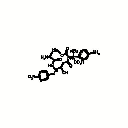 CC[C@H](C)[C@](C(=O)O)(c1ccc(N)cc1)N(C(=O)CC(O)[C@H](Cc1ccc([N+](=O)[O-])cc1)NC(=O)C(C)N)C(=O)OC(C)(C)C